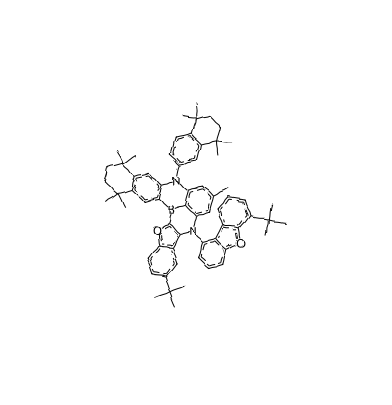 Cc1cc2c3c(c1)N(c1cccc4oc5c(C(C)(C)C)cccc5c14)c1c(oc4ccc(C(C)(C)C)cc14)B3c1cc3c(cc1N2c1ccc2c(c1)C(C)(C)CCC2(C)C)C(C)(C)CCC3(C)C